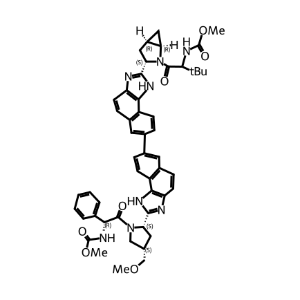 COC[C@H]1C[C@@H](c2nc3ccc4cc(-c5ccc6c(ccc7nc([C@@H]8C[C@H]9C[C@H]9N8C(=O)C(NC(=O)OC)C(C)(C)C)[nH]c76)c5)ccc4c3[nH]2)N(C(=O)[C@H](NC(=O)OC)c2ccccc2)C1